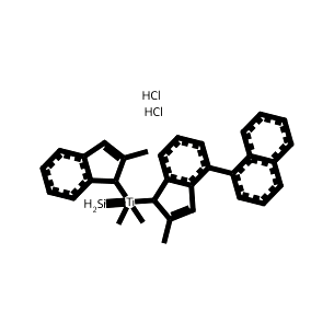 CC1=Cc2ccccc2[CH]1[Ti]([CH3])([CH3])(=[SiH2])[CH]1C(C)=Cc2c(-c3cccc4ccccc34)cccc21.Cl.Cl